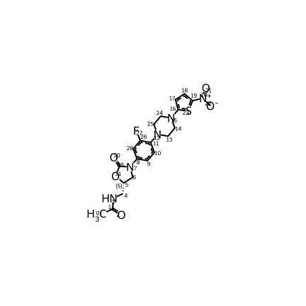 CC(=O)NC[C@H]1CN(c2ccc(N3CCN(c4ccc([N+](=O)[O-])s4)CC3)c(F)c2)C(=O)O1